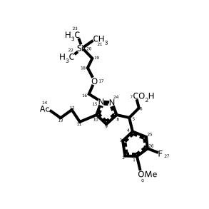 COc1ccc(C(CC(=O)O)c2cc(CCCC(C)=O)n(COCC[Si](C)(C)C)n2)cc1F